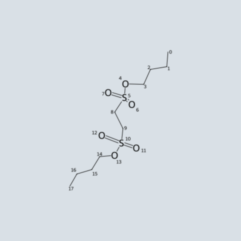 CCCCOS(=O)(=O)CCS(=O)(=O)OCCCC